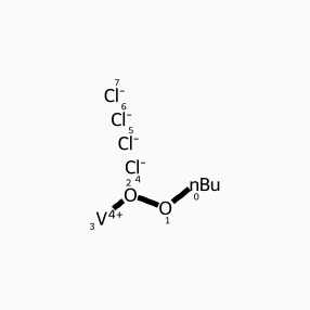 CCCCO[O][V+4].[Cl-].[Cl-].[Cl-].[Cl-]